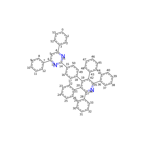 c1ccc(-c2cc(-c3ccccc3)nc(-c3ccc(-c4c(-c5ccccc5)c(-c5ccccc5)nc(-c5ccccc5)c4-c4ccccc4)cc3)n2)cc1